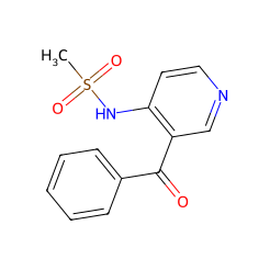 CS(=O)(=O)Nc1ccncc1C(=O)c1ccccc1